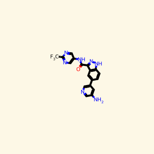 Nc1cncc(-c2ccc3[nH]nc(C(=O)Nc4cnc(C(F)(F)F)nc4)c3c2)c1